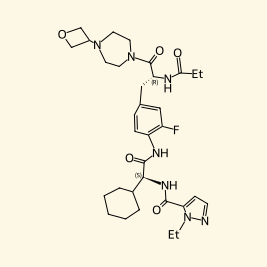 CCC(=O)N[C@H](Cc1ccc(NC(=O)[C@@H](NC(=O)c2ccnn2CC)C2CCCCC2)c(F)c1)C(=O)N1CCN(C2COC2)CC1